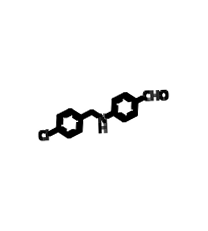 O=Cc1ccc(NCc2ccc(Cl)cc2)cc1